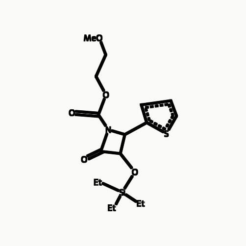 CC[Si](CC)(CC)OC1C(=O)N(C(=O)OCCOC)C1c1cccs1